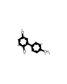 Cc1ccc(-c2cc(Cl)ccc2Cl)cc1